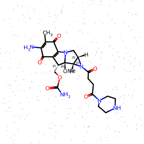 CO[C@@]12[C@H](COC(N)=O)C3=C(C(=O)C(C)=C(N)C3=O)N1C[C@H]1[C@@H]2N1C(=O)CCC(=O)N1CCNCC1